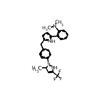 CC1C=C(C(F)(F)F)NN1c1ccc(Cc2ccc(-c3ccccc3N(C)C)[nH]2)cc1